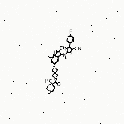 CCc1nn2c(C)cc(N3CC4(CN(C(=O)C5(O)CCOCC5)C4)C3)cc2c1N(C)c1nc(-c2ccc(F)cc2)c(C#N)s1